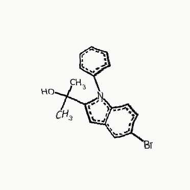 CC(C)(O)c1cc2cc(Br)ccc2n1-c1ccccc1